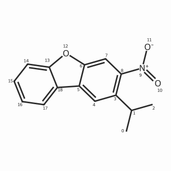 CC(C)c1cc2c(cc1[N+](=O)[O-])oc1ccccc12